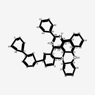 c1ccc(-c2cccc(-c3ccc(N4c5ccccc5Oc5ccccc54)c(-c4nc(-c5ccccc5)nc(-c5ccccc5)n4)c3)c2)cc1